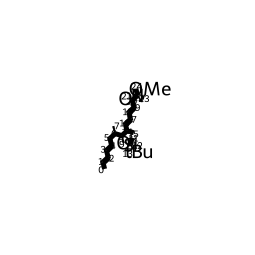 C/C=C/C=C/C[C@@H](C)[C@H](O[Si](C)(C)C(C)(C)C)C(C)/C=C/C=C/C(=O)N(C)OC